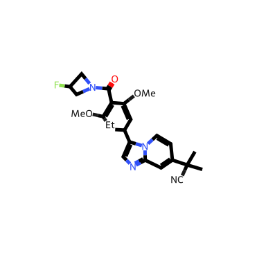 CC/C(OC)=C(C(=O)N1CC(F)C1)\C(=C/C(C)c1cnc2cc(C(C)(C)C#N)ccn12)OC